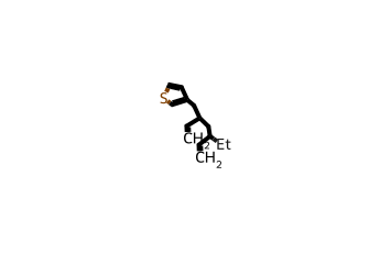 C=CC(CC)CC(C=C)Cc1ccsc1